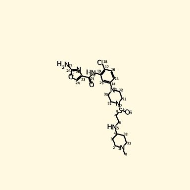 CN1CCC(NCC[S+]([O-])N2CCN(c3ccc(Cl)c(NC(=O)c4coc(N)n4)c3)CC2)CC1